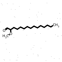 CCCCCCCCCCCCCC(C=O)OC